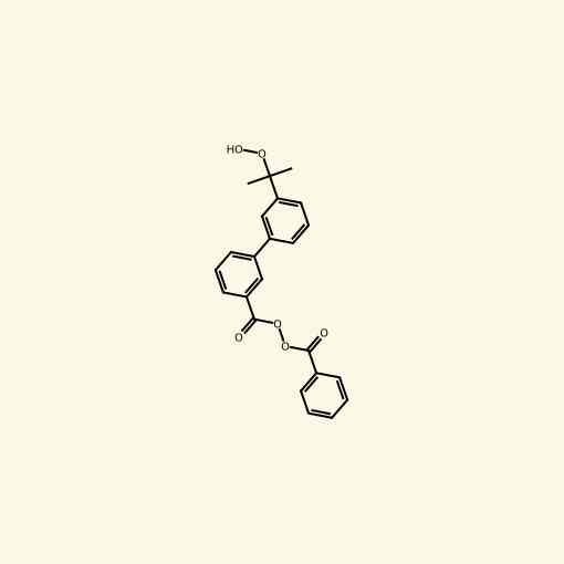 CC(C)(OO)c1cccc(-c2cccc(C(=O)OOC(=O)c3ccccc3)c2)c1